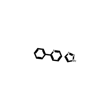 c1c[nH]nn1.c1ccc(-c2ccccn2)cc1